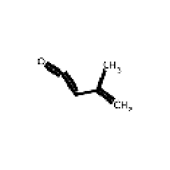 C=C(C)C=C=O